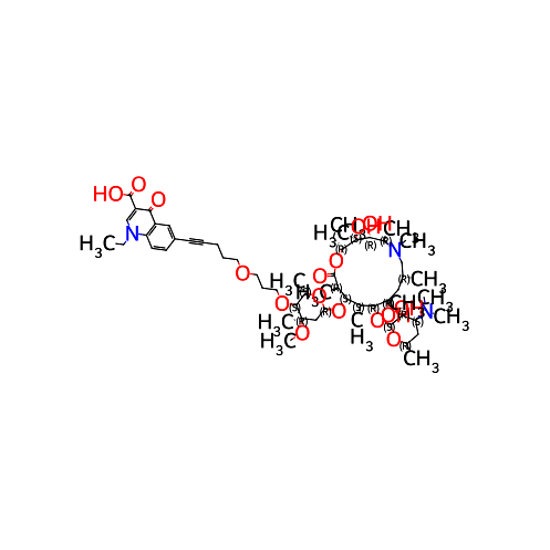 CC[C@H]1OC(=O)[C@H](C)[C@@H](O[C@H]2C[C@@](C)(OC)[C@@H](OCCCOCCCC#Cc3ccc4c(c3)c(=O)c(C(=O)O)cn4CC)[C@H](C)O2)[C@H](C)[C@@H](O[C@@H]2O[C@H](C)C[C@H](N(C)C)[C@H]2O)[C@](C)(O)C[C@@H](C)CN(C)[C@H](C)[C@@H](O)[C@]1(C)O